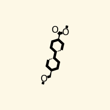 COC[C@H]1CC[C@H]([C@H]2CC[C@H](C(=O)OC)CC2)CC1